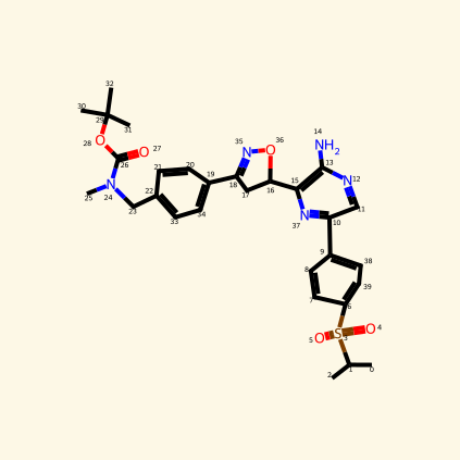 CC(C)S(=O)(=O)c1ccc(-c2cnc(N)c(C3CC(c4ccc(CN(C)C(=O)OC(C)(C)C)cc4)=NO3)n2)cc1